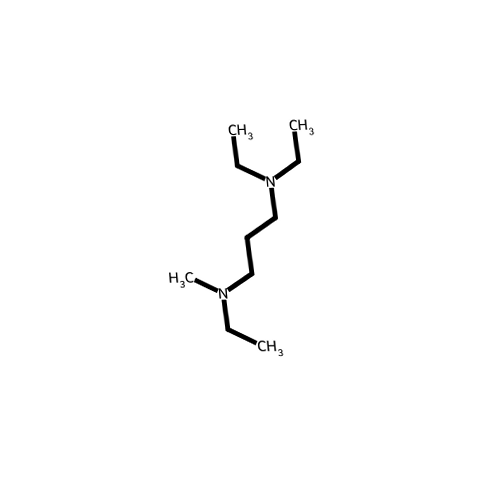 CCN(C)CCCN(CC)CC